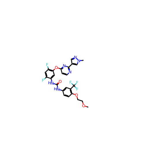 COCCOc1ccc(NC(=O)Nc2cc(Oc3ccnc(-c4cnn(C)c4)n3)c(F)cc2F)cc1C(F)(F)F